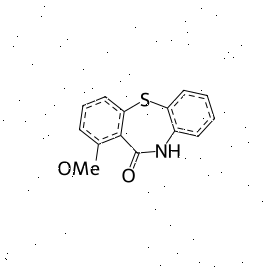 COc1cccc2c1C(=O)Nc1ccccc1S2